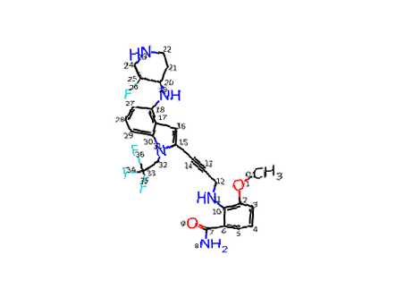 COc1cccc(C(N)=O)c1NCC#Cc1cc2c(N[C@@H]3CCNC[C@@H]3F)cccc2n1CC(F)(F)F